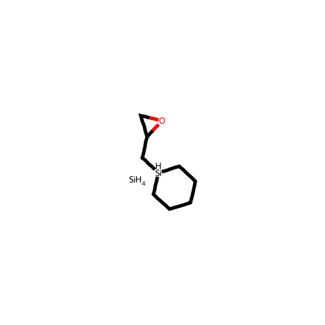 C1CC[SiH](CC2CO2)CC1.[SiH4]